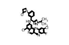 CC(C)n1cc(C(Nc2cc(Cl)c3ncc(C#N)c(Nc4ccc(F)c(Cl)c4)c3c2)c2cccc(N3CCC3=O)c2)nn1